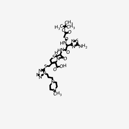 CN1CCN(CCCn2nnnc2SCC2=C(C(=O)O)N3C(=O)C(NC(=O)C(NOCC(=O)OC(C)(C)C)c4nsc(N)n4)[C@H]3SC2)CC1